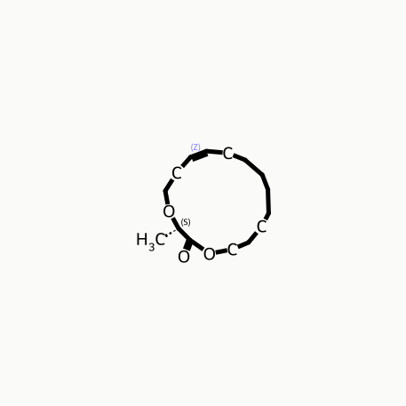 C[C@@H]1OCC/C=C\CCCCCCCCOC1=O